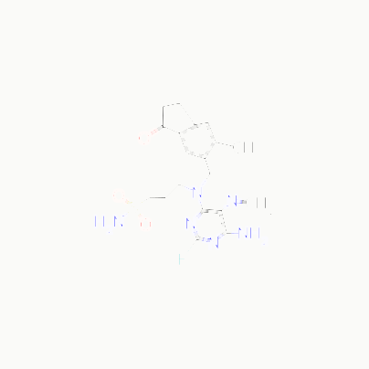 C=Nc1c(N)nc(F)nc1N(CCCS(N)(=O)=O)Cc1cc2c(cc1C)CCC2=O